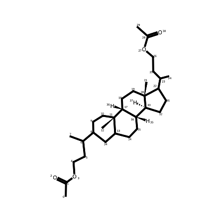 CC(=O)OCCC(C)C1CC[C@@]2(C)C(CC[C@@H]3[C@H]2CC[C@]2(C)C(C(C)CCOC(C)=O)CC[C@@H]32)C1